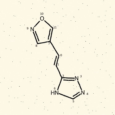 C(=C\c1nnc[nH]1)/c1cnoc1